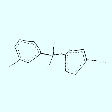 CSc1ccc(C(Cl)(Cl)c2cccc(Cl)c2)cc1